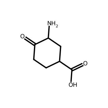 NC1CC(C(=O)O)CCC1=O